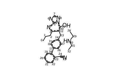 CCCc1nc2ncnn2c(O)c1Cc1ccc(-c2ccccc2C#N)cc1.CCNCC